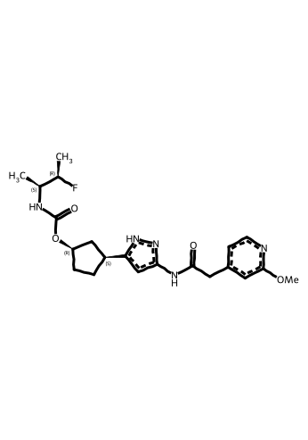 COc1cc(CC(=O)Nc2cc([C@H]3CC[C@@H](OC(=O)N[C@@H](C)[C@@H](C)F)C3)[nH]n2)ccn1